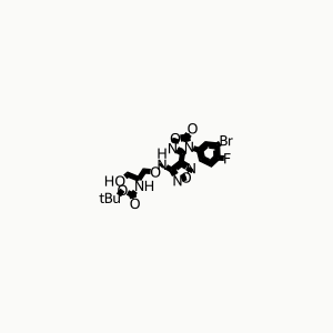 CC(C)(C)OC(=O)NC(CO)CONc1nonc1-c1noc(=O)n1-c1ccc(F)c(Br)c1